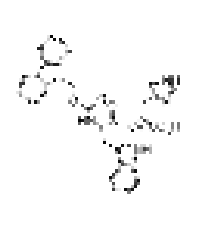 O=C(N[C@H](Cc1c[nH]c2ccccc12)C(=O)N[C@@H](Cc1c[nH]cn1)C(=O)O)OCC1c2ccccc2-c2ccccc21